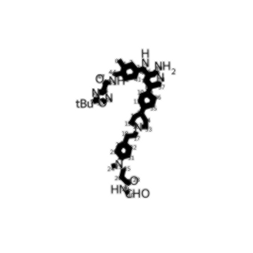 Cc1cc(C(=N)c2cc(-c3ccc(C4CCN(CCc5ccc(N(C)CCC(=O)NC=O)cc5)CC4)cc3)cnc2N)ccc1CNC(=O)c1noc(C(C)(C)C)n1